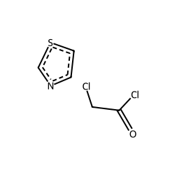 O=C(Cl)CCl.c1cscn1